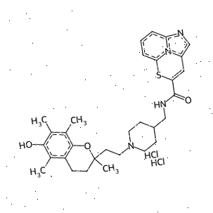 Cc1c(C)c2c(c(C)c1O)CCC(C)(CCN1CCC(CNC(=O)C3=Cc4cnc5cccc(n45)S3)CC1)O2.Cl.Cl